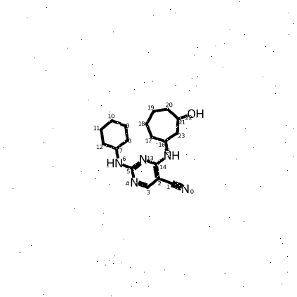 N#Cc1cnc(NC2CCCCC2)nc1NC1CCCCC(O)C1